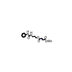 COC(=O)/C=C/C(=O)OCCCNC(=O)Nc1ccccc1